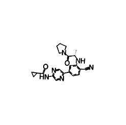 C[C@H](Nc1cc(-c2cnc(NC(=O)C3CC3)cn2)ccc1C#N)C(=O)N1CCCC1